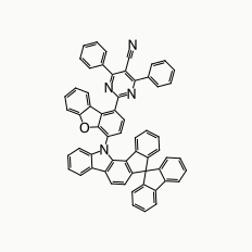 N#Cc1c(-c2ccccc2)nc(-c2ccc(-n3c4ccccc4c4ccc5c(c43)-c3ccccc3C53c4ccccc4-c4ccccc43)c3oc4ccccc4c23)nc1-c1ccccc1